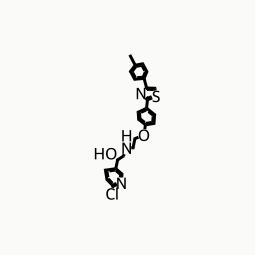 Cc1ccc(-c2csc(-c3ccc(OCCNC[C@H](O)c4ccc(Cl)nc4)cc3)n2)cc1